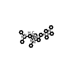 C=C(/C=C\C)N(C)c1ccc(-c2cc(-c3ccccc3)nc(-c3ccccc3)n2)cc1-c1nc(-c2ccccc2)nc(-c2cccc(-c3cccc(N4c5ccccc5B5c6ccccc6N(c6ccccc6)c6cccc4c65)c3)c2)n1